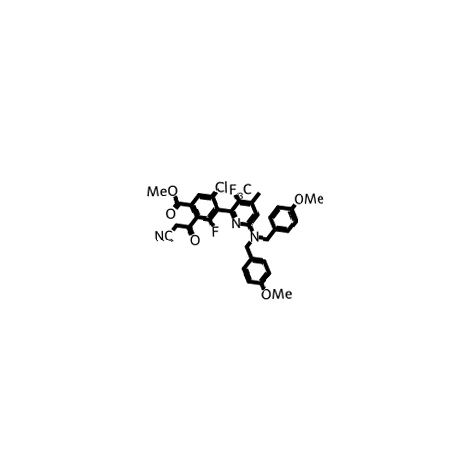 COC(=O)c1cc(Cl)c(-c2nc(N(Cc3ccc(OC)cc3)Cc3ccc(OC)cc3)cc(C)c2C(F)(F)F)c(F)c1C(=O)CC#N